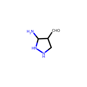 NC1NNCC1C=O